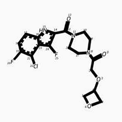 O=C(COC1COC1)N1CCN(C(=O)c2[nH]c3ccc(F)c(Cl)c3c2F)CC1